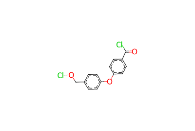 O=C(Cl)c1ccc(Oc2ccc(COCl)cc2)cc1